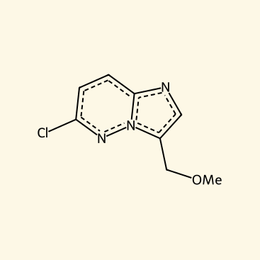 COCc1cnc2ccc(Cl)nn12